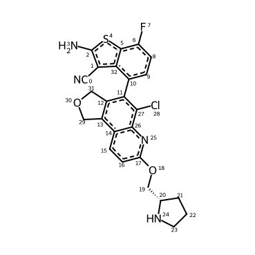 N#Cc1c(N)sc2c(F)ccc(-c3c4c(c5ccc(OC[C@@H]6CCCN6)nc5c3Cl)COC4)c12